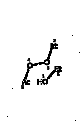 CCO.CCOOC(C)=O